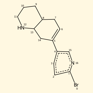 Brc1ccc(C2=CCC3CCCNC3C2)cn1